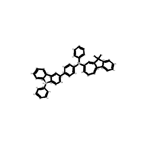 CC1(C)C2=CC(N(c3ccccc3)c3ccc(-c4ccc5c(c4)c4ccccc4n5-c4ccccc4)cc3)=CCC=C2c2ccccc21